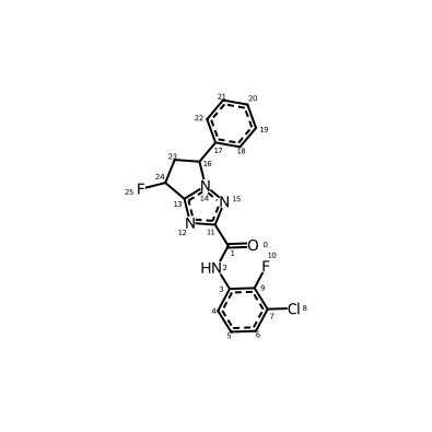 O=C(Nc1cccc(Cl)c1F)c1nc2n(n1)C(c1ccccc1)CC2F